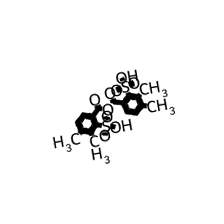 Cc1ccc(C(=O)OC(=O)c2ccc(C)c(C)c2S(=O)(=O)O)c(S(=O)(=O)O)c1C